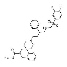 CC(C)(C)OC(=O)N1Cc2ccccc2C2(CCN(CCC(CNCS(=O)(=O)c3ccc(F)c(F)c3)c3ccccc3)CC2)C1